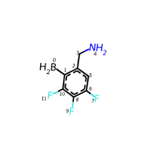 Bc1c(CN)cc(F)c(F)c1F